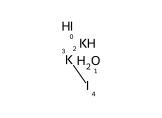 I.O.[KH].[K][I]